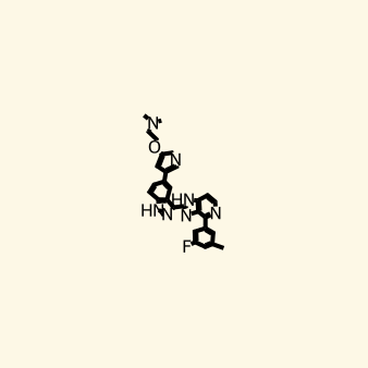 Cc1cc(F)cc(-c2nccc3[nH]c(-c4n[nH]c5ccc(-c6cncc(OCCN(C)C)c6)cc45)nc23)c1